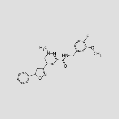 COc1cc(CNC(=O)C2=NN(C)CC(C3=NOC(c4ccccc4)C3)=C2)ccc1F